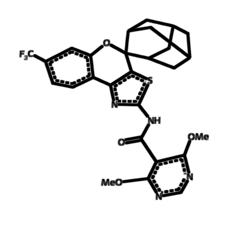 COc1ncnc(OC)c1C(=O)Nc1nc2c(s1)C1(Oc3cc(C(F)(F)F)ccc3-2)C2CC3CC(C2)CC1C3